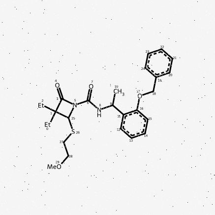 CCC1(CC)C(=O)N(C(=O)NC(C)c2ccccc2OCc2ccccc2)C1SCCOC